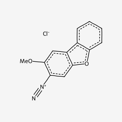 COc1cc2c(cc1[N+]#N)oc1ccccc12.[Cl-]